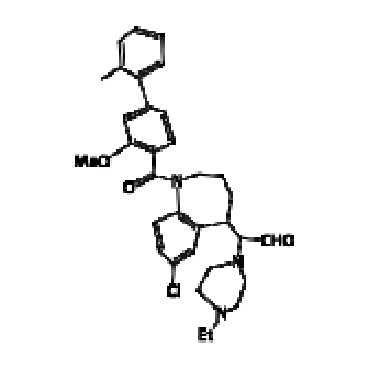 CCN1CCN(C(C=O)C2CCCN(C(=O)c3ccc(-c4ccccc4C)cc3OC)c3ccc(Cl)cc32)CC1